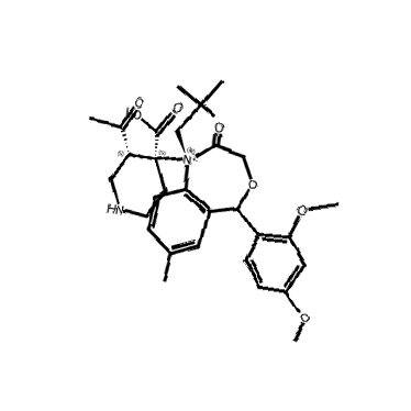 COc1ccc(C2OCC(=O)[N@@+](CC(C)(C)C)([C@@]3(C(=O)O)CCNC[C@@H]3C(C)=O)c3ccc(C)cc32)c(OC)c1